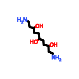 NCCC(O)CCC(O)CCC(O)CCN